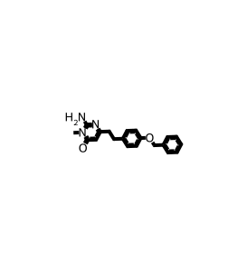 Cn1c(N)nc(CCc2ccc(OCc3ccccc3)cc2)cc1=O